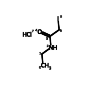 CCNC(=O)CI.Cl